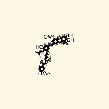 COc1ccc(C(=O)Cn2cc(COc3cc(/C=C/c4cc5c(c(OC)c4)O[C@]4(C)C[C@@H](O)[C@@H](O)C(C)(C)[C@H]4C5)cc(O)c3CC=C(C)C)nn2)cc1